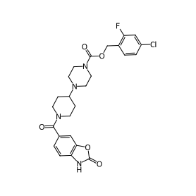 O=C(OCc1ccc(Cl)cc1F)N1CCN(C2CCN(C(=O)c3ccc4[nH]c(=O)oc4c3)CC2)CC1